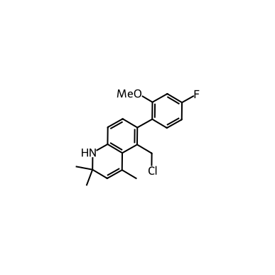 COc1cc(F)ccc1-c1ccc2c(c1CCl)C(C)=CC(C)(C)N2